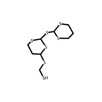 SCSC1CCSC(SC2SCCCS2)S1